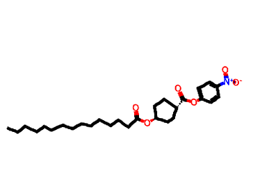 CCCCCCCCCCCCCCC(=O)O[C@H]1CC[C@H](C(=O)Oc2ccc([N+](=O)[O-])cc2)CC1